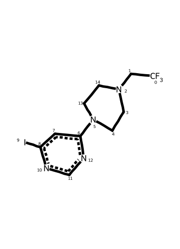 FC(F)(F)CN1CCN(c2cc(I)ncn2)CC1